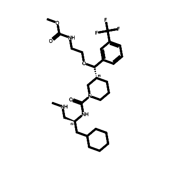 CNC[C@H](CC1CCCCC1)NC(=O)N1CCC[C@@H](C(OCCNC(=O)OC)c2cccc(C(F)(F)F)c2)C1